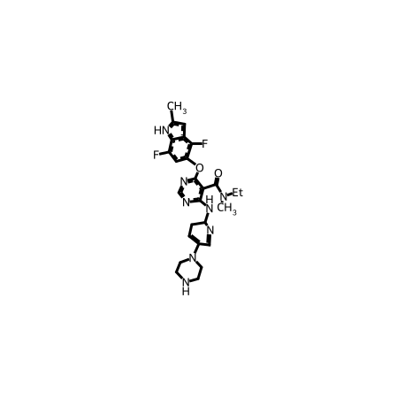 CCN(C)C(=O)c1c(NC2CC=C(N3CCNCC3)C=N2)ncnc1Oc1cc(F)c2[nH]c(C)cc2c1F